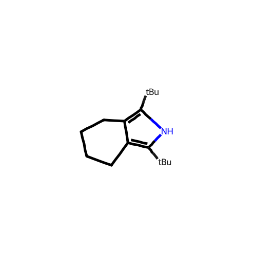 CC(C)(C)c1[nH]c(C(C)(C)C)c2c1CCCC2